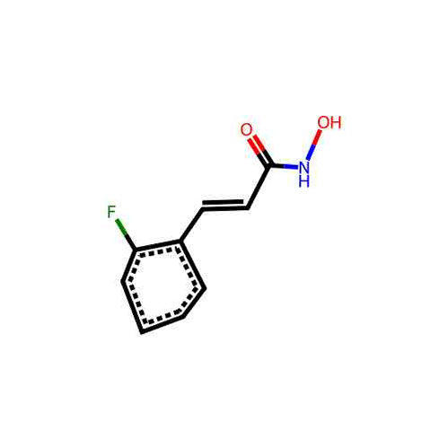 O=C(C=Cc1ccccc1F)NO